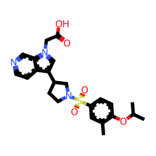 Cc1cc(S(=O)(=O)N2CCC(c3cn(CC(=O)O)c4cnccc34)C2)ccc1OC(C)C